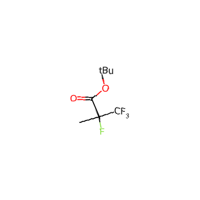 CC(C)(C)OC(=O)C(C)(F)C(F)(F)F